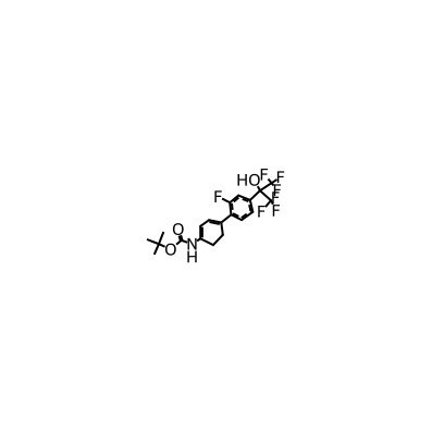 CC(C)(C)OC(=O)NC1=CC=C(c2ccc(C(O)(C(F)(F)F)C(F)(F)F)cc2F)CC1